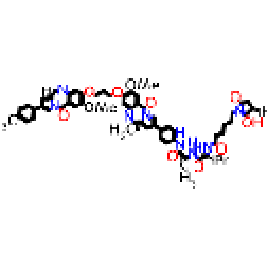 C=C[C@]12C=Nc3cc(OCCCOc4cc5c(cc4OC)C(=O)N4C=C(c6ccc(C)cc6)C[C@H]4C=N5)c(OC)cc3C(=O)N1C=C(c1ccc(NC(=O)[C@H](C)NC(=O)[C@@H](NC(=O)CCCCCN3C(=O)CC(C(C)C)C3O)C(C)C)cc1)C2